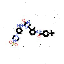 Cc1c(NC(=O)c2ccc(C(C)(C)C)cc2)cccc1-c1cn(C)c(=O)c(Nc2ccc(N3CCN(S(C)(=O)=O)CC3)cc2)n1